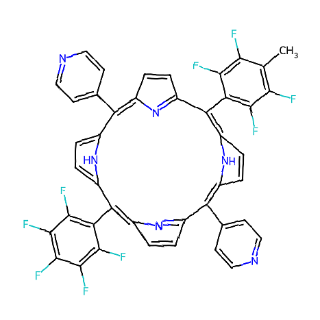 Cc1c(F)c(F)c(-c2c3nc(c(-c4ccncc4)c4ccc([nH]4)c(-c4c(F)c(F)c(F)c(F)c4F)c4nc(c(-c5ccncc5)c5ccc2[nH]5)C=C4)C=C3)c(F)c1F